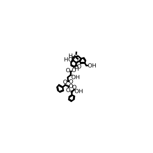 CN1CC[C@]23c4c5ccc(CO)c4O[C@H]2C(OC(=O)[C@@H](O)CC(=O)O[C@H](C(=O)O[C@H](C(=O)O)c2ccccc2)c2ccccc2)=CC[C@@]3(O)[C@H]1C5